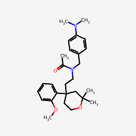 COc1ccccc1C1(CCN(Cc2ccc(N(C)C)cc2)C(C)=O)CCOC(C)(C)C1